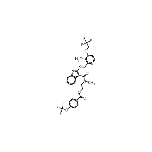 Cc1c(OCC(F)(F)F)ccnc1CSc1nc2ccccc2n1C(=O)N(C)CCOC(=O)c1ccc(OC(F)(F)F)cc1